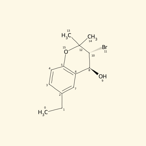 CCc1ccc2c(c1)[C@H](O)[C@@H](Br)C(C)(C)O2